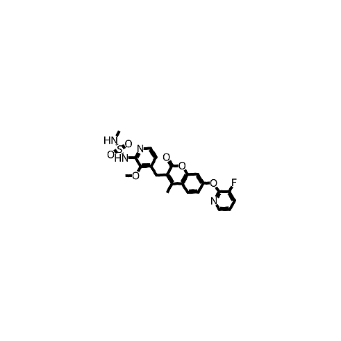 CNS(=O)(=O)Nc1nccc(Cc2c(C)c3ccc(Oc4ncccc4F)cc3oc2=O)c1OC